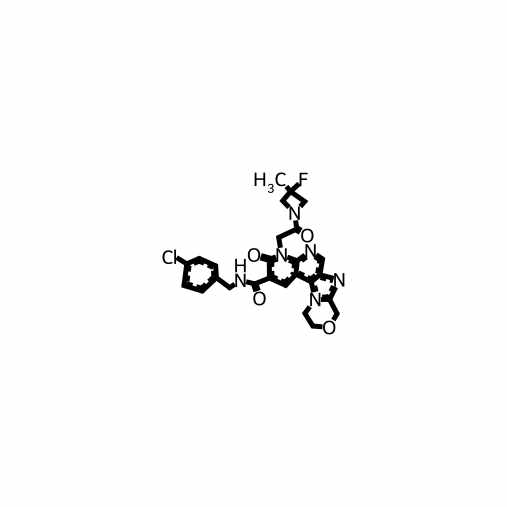 CC1(F)CN(C(=O)Cn2c(=O)c(C(=O)NCc3ccc(Cl)cc3)cc3c4c(cnc32)nc2n4CCOC2)C1